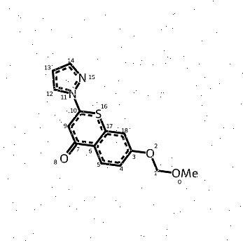 COCOc1ccc2c(=O)cc(-n3cccn3)sc2c1